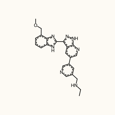 CCNCc1cncc(-c2cnc3[nH]nc(-c4nc5c(COC)cccc5[nH]4)c3c2)c1